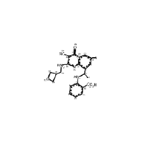 Cc1cc([C@@H](C)Nc2ccccc2C(=O)O)c2nc(NCC3COC3)c(C#N)c(=O)n2c1